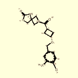 Cc1cc(CO[C@H]2C[C@H](C(=O)N3CC4(COC(=O)N4)C3)C2)ccc1Cl